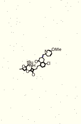 COC1=CN=C(/C=C2/CC(=O)c3c(CCc4c(N[C@@H](c5ccc(C)o5)C(C)(C)C)c(=O)c4=O)ccc(Cl)c3C2)CC=C1